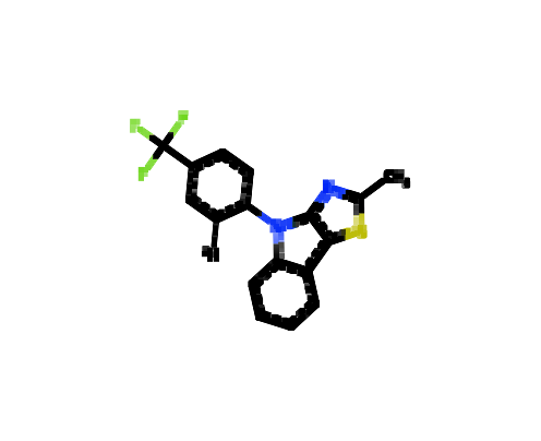 [2H]c1cc(C(F)(F)F)ccc1-n1c2ccccc2c2sc(C)nc21